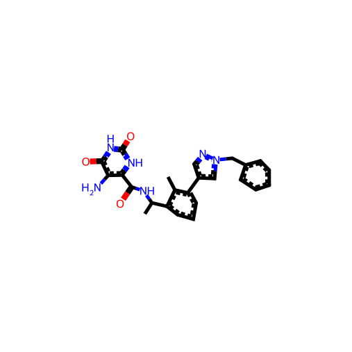 Cc1c(-c2cnn(Cc3ccccc3)c2)cccc1C(C)NC(=O)c1[nH]c(=O)[nH]c(=O)c1N